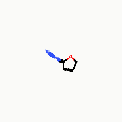 [N-]=[N+]=C1C=CCO1